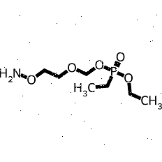 CCOP(=O)(CC)OCOCCON